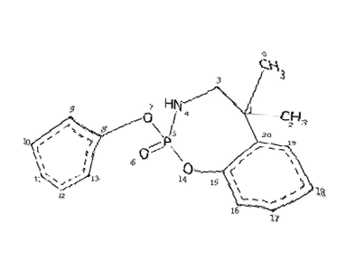 CC1(C)CNP(=O)(Oc2ccccc2)Oc2ccccc21